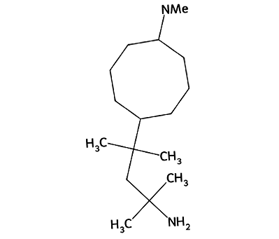 CNC1CCCC(C(C)(C)CC(C)(C)N)CCC1